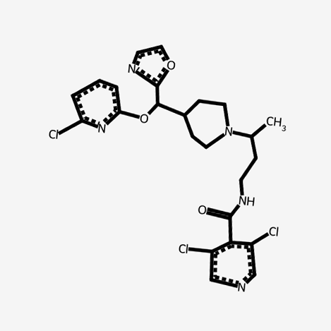 CC(CCNC(=O)c1c(Cl)cncc1Cl)N1CCC(C(Oc2cccc(Cl)n2)c2ncco2)CC1